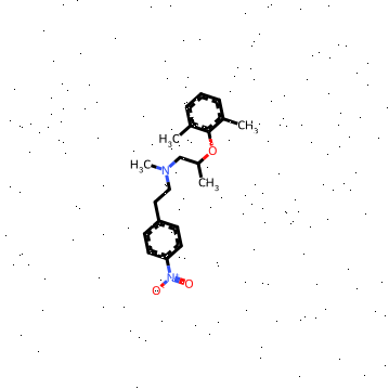 Cc1cccc(C)c1OC(C)CN(C)CCc1ccc([N+](=O)[O-])cc1